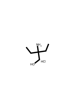 CCC(N)(CC)CO.Cl